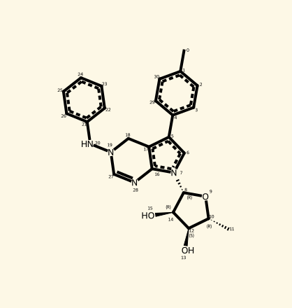 Cc1ccc(-c2cn([C@@H]3O[C@H](C)[C@@H](O)[C@H]3O)c3c2CN(Nc2ccccc2)C=N3)cc1